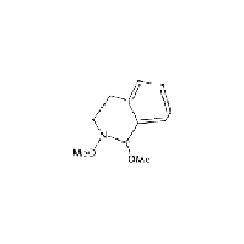 CO[C]1c2ccccc2CCN1OC